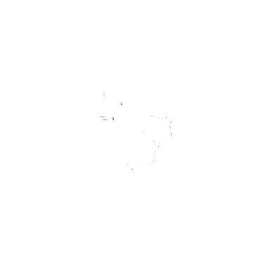 CN1C=CN(CC#N)C1.O=C(O)C(F)(F)F